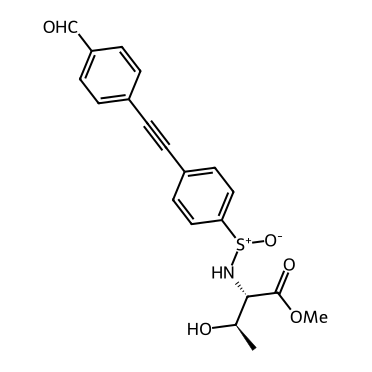 COC(=O)[C@@H](N[S+]([O-])c1ccc(C#Cc2ccc(C=O)cc2)cc1)[C@@H](C)O